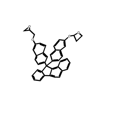 c1ccc2c(c1)-c1ccc3ccccc3c1C2(c1ccc2cc(OCC3CO3)ccc2c1)c1ccc2cc(OC3CCO3)ccc2c1